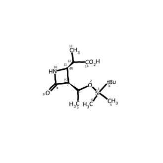 CC(O[Si](C)(C)C(C)(C)C)[C@H]1C(=O)N[C@H]1C(C)C(=O)O